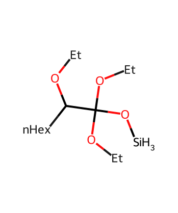 CCCCCCC(OCC)C(O[SiH3])(OCC)OCC